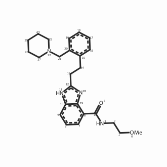 COCCNC(=O)c1cccc2[nH]c([CH]Cc3ccccc3CN3CCCCC3)nc12